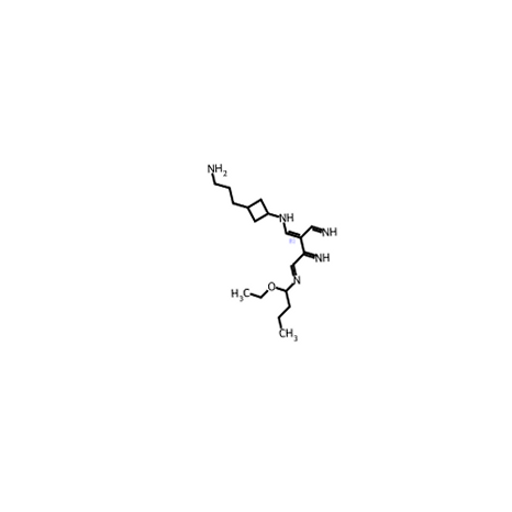 CCCC(N=CC(=N)/C(C=N)=C/NC1CC(CCCN)C1)OCC